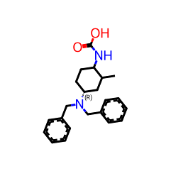 CC1C[C@H](N(Cc2ccccc2)Cc2ccccc2)CCC1NC(=O)O